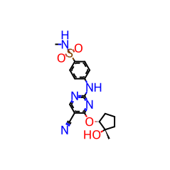 CNS(=O)(=O)c1ccc(Nc2ncc(C#N)c(O[C@@H]3CCC[C@]3(C)O)n2)cc1